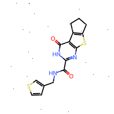 O=C(NCc1ccsc1)c1nc2sc3c(c2c(=O)[nH]1)CCC3